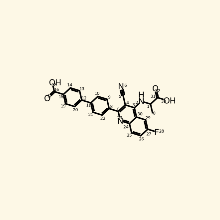 CC(Nc1c(C#N)c(-c2ccc(-c3ccc(C(=O)O)cc3)cc2)nc2ccc(F)cc12)C(=O)O